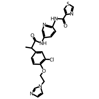 CC(C(=O)Nc1ccc(NC(=O)c2cscn2)nc1)c1ccc(OCCn2ccnc2)c(Cl)c1